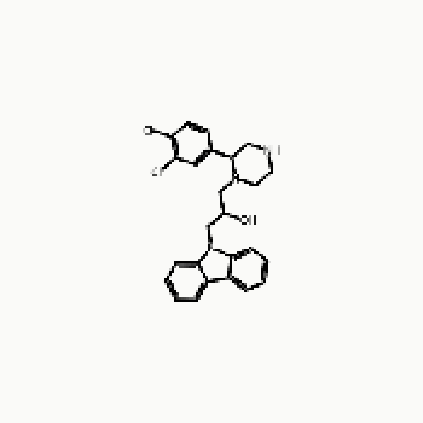 OC(CN1CCNCC1c1ccc(Cl)c(Cl)c1)Cn1c2ccccc2c2ccccc21